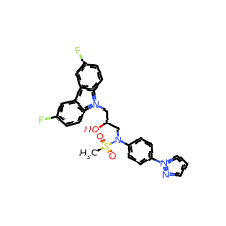 CS(=O)(=O)N(CC(O)Cn1c2ccc(F)cc2c2cc(F)ccc21)c1ccc(-n2cccn2)cc1